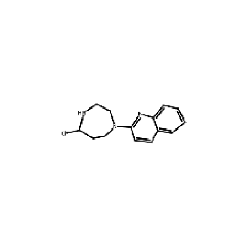 ClC1CCN(c2ccc3ccccc3n2)CCN1